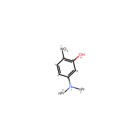 CCCN(CCC)c1ccc([N+](=O)[O-])c(O)c1